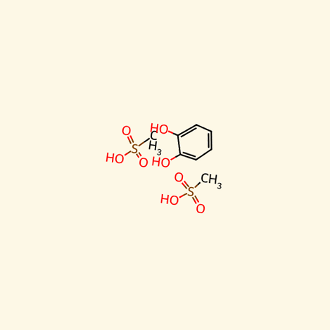 CS(=O)(=O)O.CS(=O)(=O)O.Oc1ccccc1O